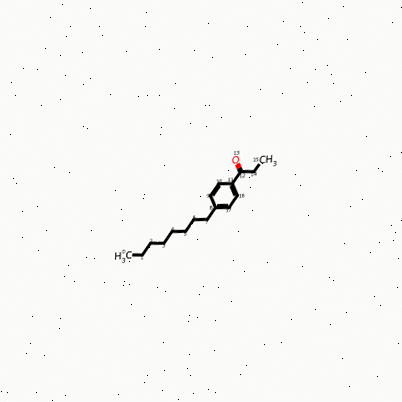 CCCCCCCCc1ccc(C(=O)CC)cc1